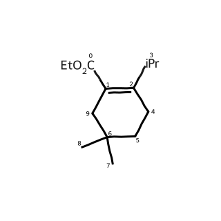 CCOC(=O)C1=C(C(C)C)CCC(C)(C)C1